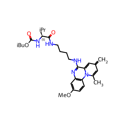 C=C1C=C(C)N2C(=C1)C(NCCCCNC(=O)[C@@H](NC(=O)OCC(C)C)C(C)C)=Nc1cc(OC)ccc12